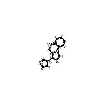 c1ccc2c(c1)ncc1c(-c3ccsc3)ccn12